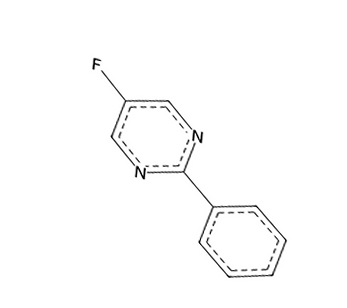 Fc1cnc(-c2ccccc2)nc1